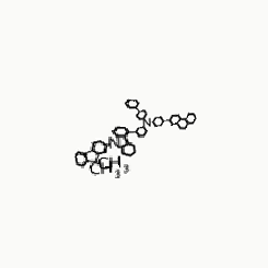 CC1(C)c2ccccc2-c2ccc(-n3c4ccccc4c4c(-c5cccc(N(c6ccc(-c7ccccc7)cc6)c6ccc(-c7ccc8c(ccc9ccccc98)c7)cc6)c5)cccc43)cc21